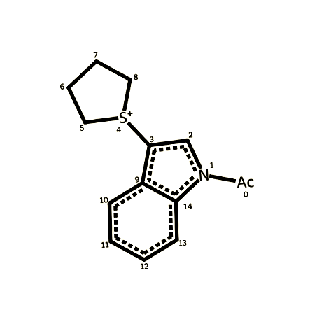 CC(=O)n1cc([S+]2CCCC2)c2ccccc21